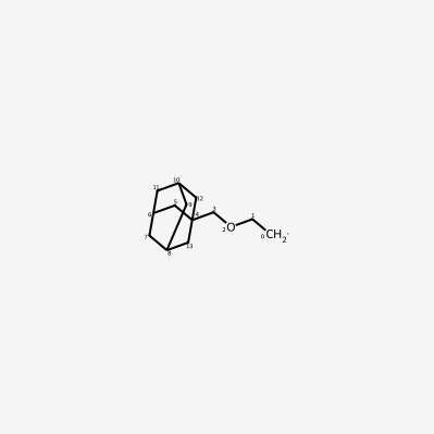 [CH2]COCC12CC3CC(CC(C3)C1)C2